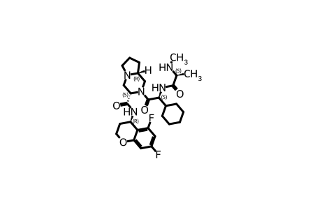 CN[C@@H](C)C(=O)N[C@H](C(=O)N1C[C@H]2CCCN2C[C@H]1C(=O)N[C@@H]1CCOc2cc(F)cc(F)c21)C1CCCCC1